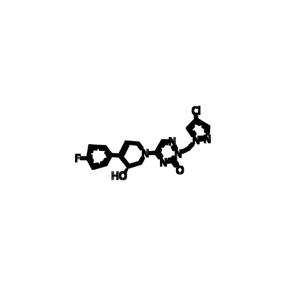 O=c1nc(N2CC=C(c3ccc(F)cc3)[C@@H](O)C2)cnn1Cn1cc(Cl)cn1